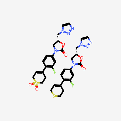 O=C1O[C@@H](Cn2ccnn2)CN1c1ccc(C2=CCS(=O)(=O)CC2)c(F)c1.O=C1O[C@@H](Cn2ccnn2)CN1c1ccc(C2=CCSCC2)c(F)c1